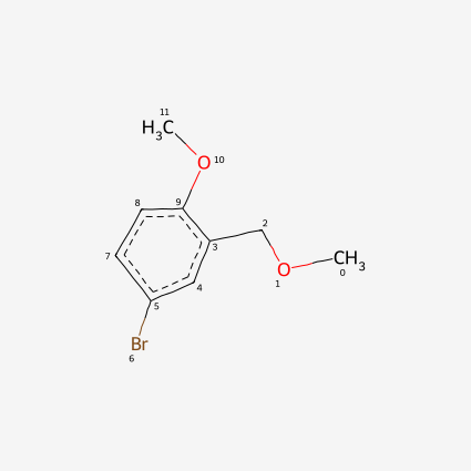 COCc1cc(Br)ccc1OC